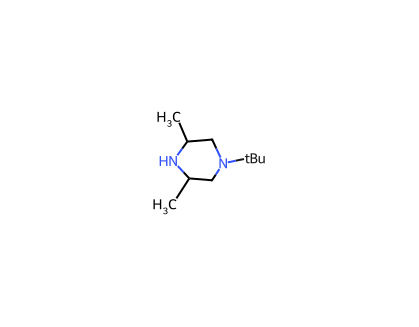 CC1CN(C(C)(C)C)CC(C)N1